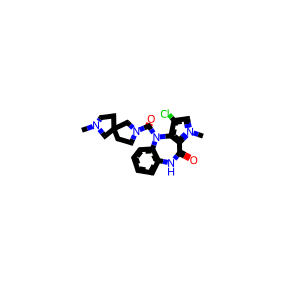 CN1CCC2(CCN(C(=O)N3c4ccccc4NC(=O)c4c3c(Cl)cn4C)C2)C1